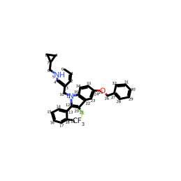 C/C=C\C(=C/NCC1CC1)Cn1c(-c2ccccc2C(F)(F)F)c(F)c2cc(OCc3ccccc3)ccc21